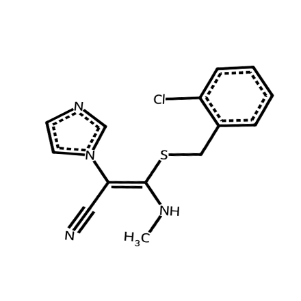 CN/C(SCc1ccccc1Cl)=C(\C#N)n1ccnc1